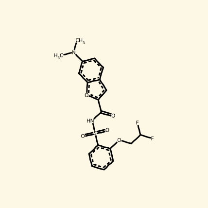 CN(C)c1ccc2cc(C(=O)NS(=O)(=O)c3ccccc3OCC(F)F)oc2c1